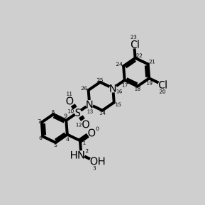 O=C(NO)c1ccccc1S(=O)(=O)N1CCN(c2cc(Cl)cc(Cl)c2)CC1